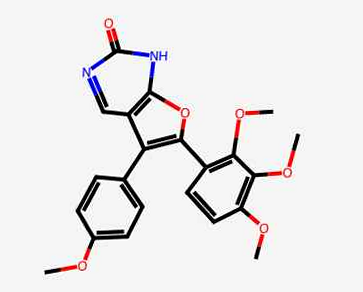 COc1ccc(-c2c(-c3ccc(OC)c(OC)c3OC)oc3[nH]c(=O)ncc23)cc1